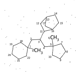 CC1(C[C](CC2(C)CCCC2)C2CC3CCC2C3)CCCCC1